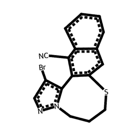 N#Cc1c2c(cc3ccccc13)SCCCn1ncc(Br)c1-2